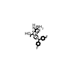 CC(O)C(Sc1ncnc(N)c1N)N1CCN(C(c2ccc(F)cc2)c2ccc(F)cc2)CC1